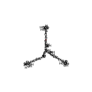 CC(=O)N[C@H]1[C@H]2OC[C@](COCCOCCOCCOCCn3cc(COCC(N)(COC/C(=C/NCCOCCOCCOCCOC[C@]45CO[C@H](C[C@@H](O)[C@H]4O)O5)N=N)COC/C(=C/NCCOCCOCCOCCOC[C@]45CO[C@H](C[C@@H](O)[C@H]4O)O5)N=N)nn3)(O2)[C@H](O)[C@@H]1O